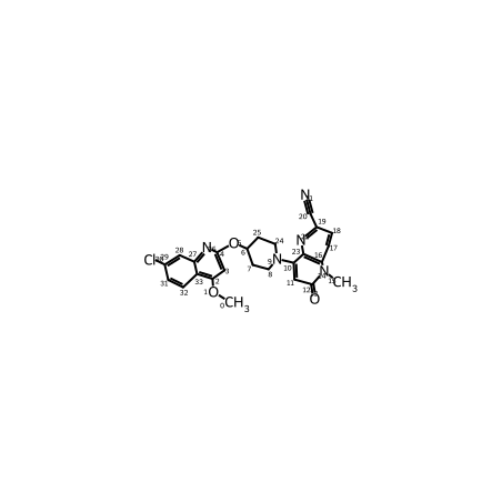 COc1cc(OC2CCN(c3cc(=O)n(C)c4ccc(C#N)nc34)CC2)nc2cc(Cl)ccc12